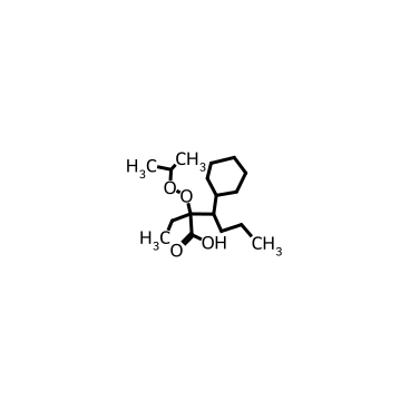 CCCC(C1CCCCC1)C(CC)(OOC(C)C)C(=O)O